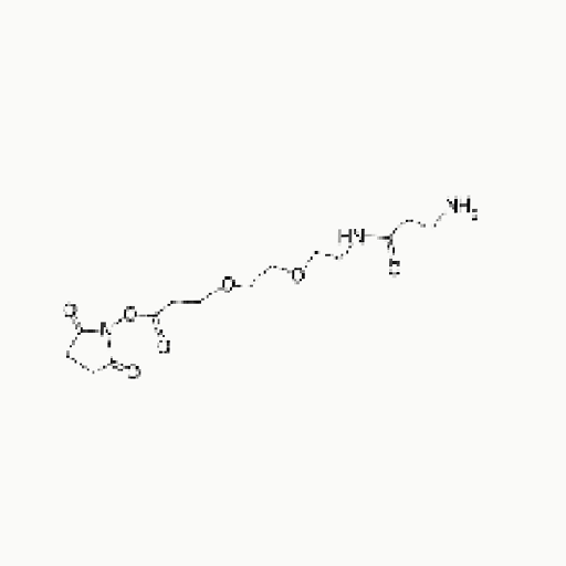 NCCC(=O)NCCOCCOCCC(=O)ON1C(=O)CCC1=O